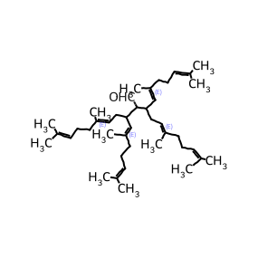 CC(C)=CCC/C(C)=C/CC(/C=C(\C)CCC=C(C)C)C([C]=O)C(/C=C(\C)CCC=C(C)C)C/C=C(\C)CCC=C(C)C